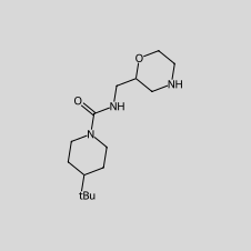 CC(C)(C)C1CCN(C(=O)NCC2CNCCO2)CC1